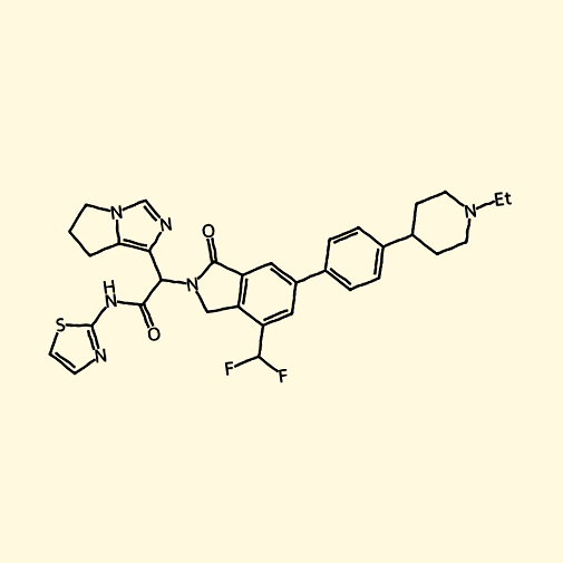 CCN1CCC(c2ccc(-c3cc4c(c(C(F)F)c3)CN(C(C(=O)Nc3nccs3)c3ncn5c3CCC5)C4=O)cc2)CC1